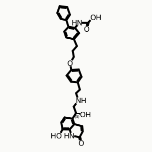 O=C(O)Nc1cc(CCCOc2ccc(CCNC[C@@H](O)c3ccc(O)c4[nH]c(=O)ccc34)cc2)ccc1-c1ccccc1